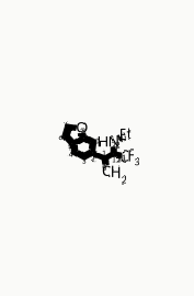 C=C(c1ccc2ccoc2c1)C(NCC)C(F)(F)F